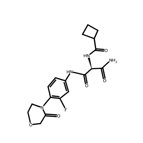 NC(=O)[C@H](NC(=O)C1CCC1)C(=O)Nc1ccc(N2CCOCC2=O)c(F)c1